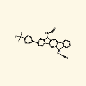 N#C/N=C1\c2ccccc2-c2cc3c(cc21)-c1ccc(-c2ccc(C(F)(F)F)cc2)cc1C3NC#N